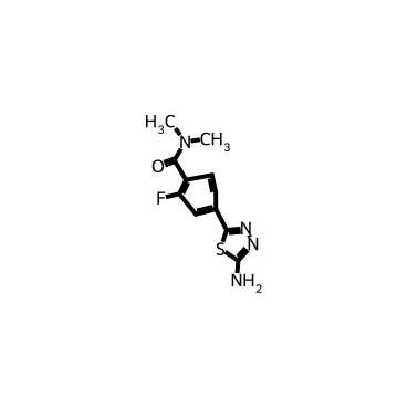 CN(C)C(=O)c1ccc(-c2nnc(N)s2)cc1F